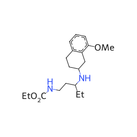 CCOC(=O)NCCC(CC)NC1CCc2cccc(OC)c2C1